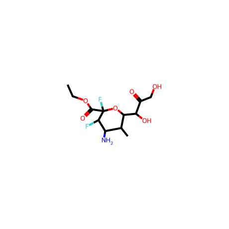 CCOC(=O)C1(F)OC(C(O)C(=O)CO)C(C)C(N)C1F